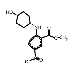 COC(=O)c1cc([N+](=O)[O-])ccc1N[C@H]1CC[C@H](O)CC1